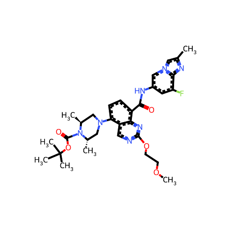 COCCOc1ncc2c(N3C[C@H](C)N(C(=O)OC(C)(C)C)[C@@H](C)C3)ccc(C(=O)Nc3cc(F)c4nc(C)cn4c3)c2n1